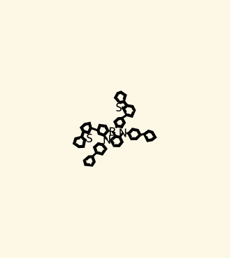 c1ccc(-c2ccc(N3c4cc(-c5cccc6c5sc5ccccc56)ccc4B4c5ccc(-c6cccc7c6sc6ccccc67)cc5N(c5ccc(-c6ccccc6)cc5)c5cccc3c54)cc2)cc1